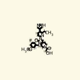 CCc1nc(N2CC3(CCN(C(=O)CO)CC3)N(Cc3cc(F)cc(OC)c3)C2=O)ccc1-c1cn[nH]c1